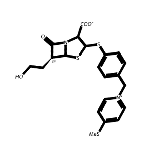 CSc1cc[n+](Cc2ccc(SC3SC4[C@@H](CCO)C(=O)N4C3C(=O)[O-])cc2)cc1